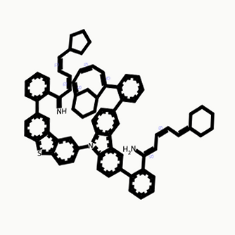 N=C(/C=C\C=C/C1CCCC1)c1ccccc1-c1ccc2sc3ccc(-n4c5ccc(-c6ccccc6/C(N)=C/C=C\C=C6CCCCC6)cc5c5cc(-c6ccccc6/C6=C/C=C\C=C7\CCCC6C7)ccc54)cc3c2c1